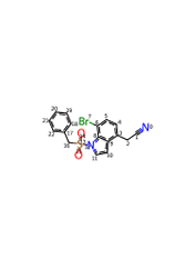 N#CCc1ccc(Br)c2c1ccn2S(=O)(=O)Cc1ccccc1